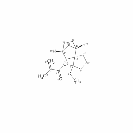 C=C(C)C(=O)OC1(CC)CCC[C@@]12C[C@@H]1CC[C@H]2C1